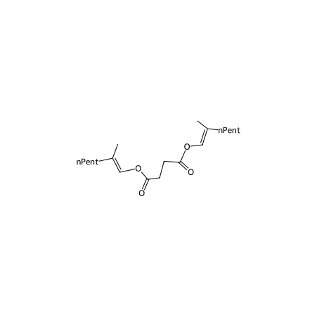 CCCCCC(C)=COC(=O)CCC(=O)OC=C(C)CCCCC